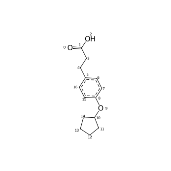 O=C(O)CCc1ccc(OC2CCCC2)cc1